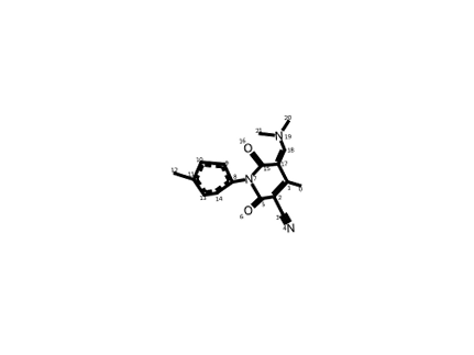 CC1=C(C#N)C(=O)N(c2ccc(C)cc2)C(=O)/C1=C\N(C)C